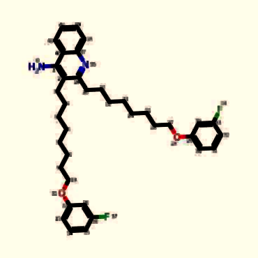 Nc1c(CCCCCCCCOc2cccc(F)c2)c(CCCCCCCCOc2cccc(F)c2)nc2ccccc12